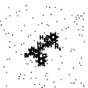 Cc1cccc(C)c1NC(=O)NCCNc1cc(-c2ccccc2Cl)nc2c(Br)cnn12